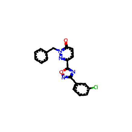 O=c1ccc(-c2nc(-c3cccc(Cl)c3)no2)nn1Cc1ccccc1